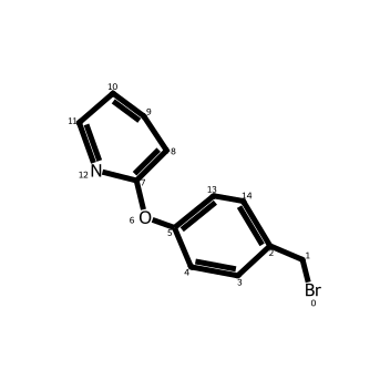 BrCc1ccc(Oc2ccccn2)cc1